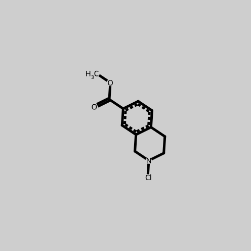 COC(=O)c1ccc2c(c1)CN(Cl)CC2